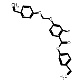 C=Cc1ccc(OCOc2ccc(C(=O)Oc3ccc(C=C)cc3)c(F)c2)cc1